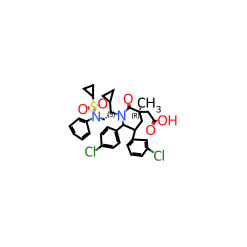 C[C@]1(CC(=O)O)CC(c2cccc(Cl)c2)C(c2ccc(Cl)cc2)N([C@H](CN(c2ccccc2)S(=O)(=O)C2CC2)C2CC2)C1=O